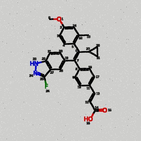 COc1ccc(C(=C(c2ccc(C=CC(=O)O)cc2)c2ccc3[nH]nc(F)c3c2)C2CC2)c(C)c1